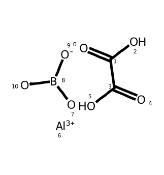 O=C(O)C(=O)O.[Al+3].[O-]B([O-])[O-]